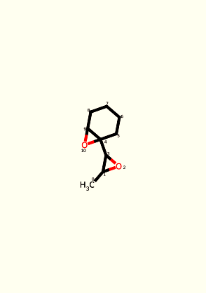 CC1OC1C12CCCCC1O2